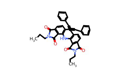 CCCN1C(=O)c2ccc(C#Cc3ccccc3)c(Nc3c(C#Cc4ccccc4)ccc4c3C(=O)N(CCC)C4=O)c2C1=O